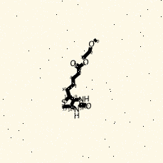 COCCOC(=O)CCCCC1SCC2NC(=O)NC21